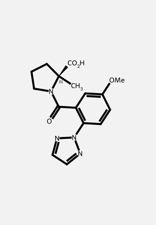 COc1ccc(-n2nccn2)c(C(=O)N2CCC[C@@]2(C)C(=O)O)c1